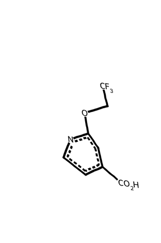 O=C(O)c1ccnc(OCC(F)(F)F)c1